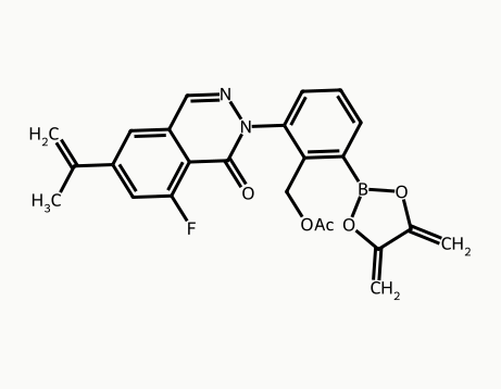 C=C1OB(c2cccc(-n3ncc4cc(C(=C)C)cc(F)c4c3=O)c2COC(C)=O)OC1=C